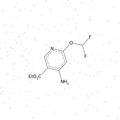 CCOC(=O)c1cnc(OC(F)F)cc1N